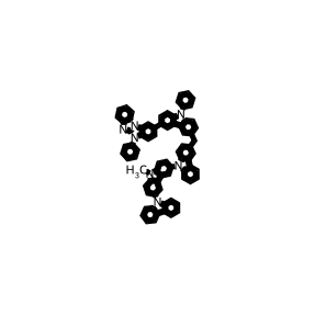 Cn1c2ccc(-n3c4ccccc4c4ccccc43)cc2c2cc(-n3c4ccccc4c4cc(Cc5ccc6c(c5)c5cc(-c7ccc8c(c7)n7c9ccccc9nc7n8-c7ccccc7)ccc5n6-c5ccccc5)ccc43)ccc21